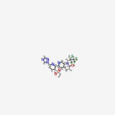 CCS(=O)(=O)c1ccc(-n2cncn2)nc1-c1cc2c(cn1)N(CC(F)(F)C(F)(F)F)C(=O)CC2